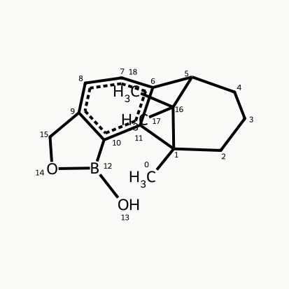 CC12CCCC(c3ccc4c(c31)B(O)OC4)C2(C)C